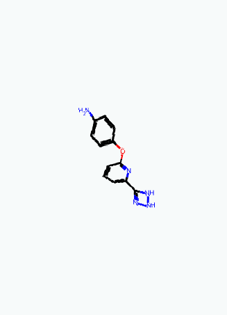 Nc1ccc(Oc2cccc(-c3n[nH][nH]3)n2)cc1